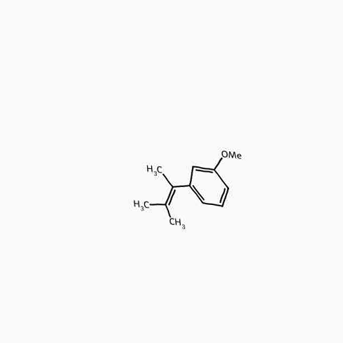 COc1cccc(C(C)=C(C)C)c1